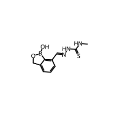 CNC(=S)N/N=C/c1cccc2c1B(O)OC2